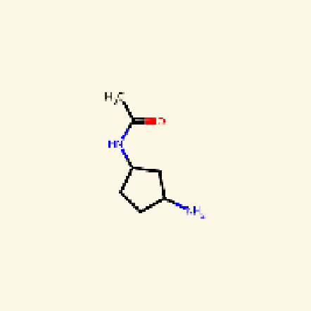 CC(=O)NC1CCC(N)C1